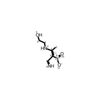 C/C(NCCO)=C(/C=N)[N+](=O)[O-]